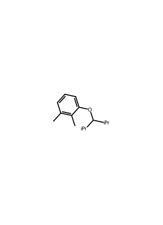 Cc1cccc(OC(C(C)C)C(C)C)c1C